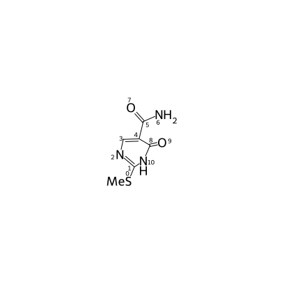 CSc1ncc(C(N)=O)c(=O)[nH]1